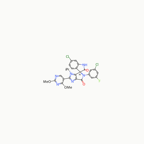 COc1ncc(-c2nc3c(n2C(C)C)[C@]2(C(=O)Nc4cc(Cl)ccc42)N(c2cc(F)cc(Cl)c2)C3=O)c(OC)n1